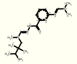 CC(N)C(C)(C)CN(C)/C=N/NC(=O)c1cccc(/N=C/N(C)C)n1